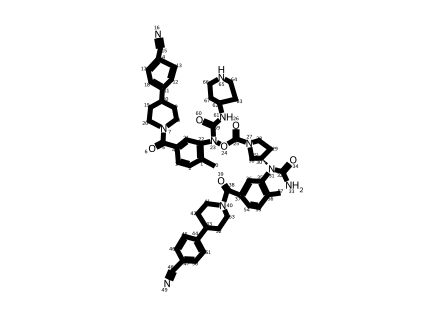 Cc1ccc(C(=O)N2CCC(c3ccc(C#N)cc3)CC2)cc1N(OC(=O)N1CC[C@H](N(C(N)=O)c2cc(C(=O)N3CCC(c4ccc(C#N)cc4)CC3)ccc2C)C1)C(=O)NC1CCNCC1